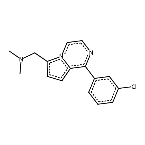 CN(C)Cc1ccc2c(-c3cccc(Cl)c3)nccn12